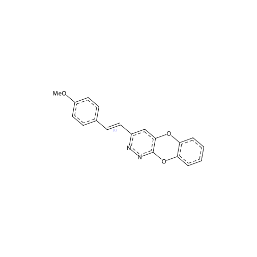 COc1ccc(/C=C/c2cc3c(nn2)Oc2ccccc2O3)cc1